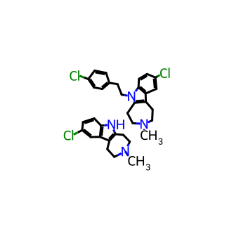 CN1CCc2[nH]c3ccc(Cl)cc3c2CC1.CN1CCc2c(n(CCc3ccc(Cl)cc3)c3ccc(Cl)cc23)CC1